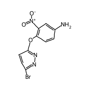 Nc1ccc(Oc2ccc(Br)nn2)c([N+](=O)[O-])c1